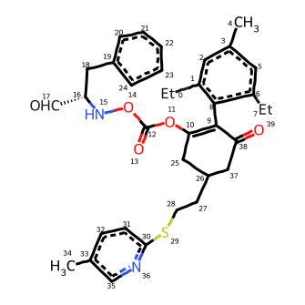 CCc1cc(C)cc(CC)c1C1=C(OC(=O)ON[C@H](C=O)Cc2ccccc2)CC(CCSc2ccc(C)cn2)CC1=O